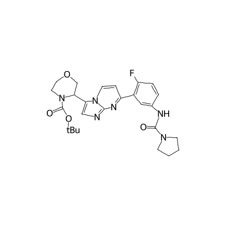 CC(C)(C)OC(=O)N1CCOCC1c1cnc2nc(-c3cc(NC(=O)N4CCCC4)ccc3F)ccn12